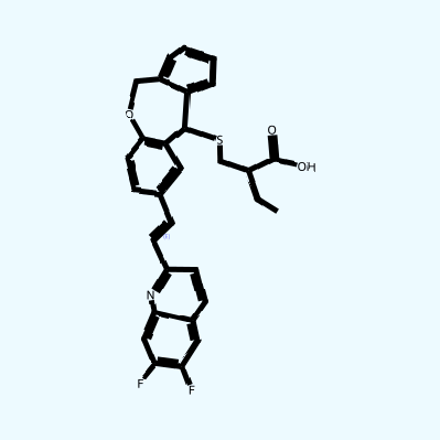 CCC(CSC1c2ccccc2COc2ccc(/C=C/c3ccc4cc(F)c(F)cc4n3)cc21)C(=O)O